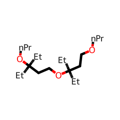 CCCOCCC(CC)(CC)OCCC(CC)(CC)OCCC